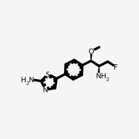 CO[C@H](c1ccc(-c2cnc(N)s2)cc1)[C@H](N)CF